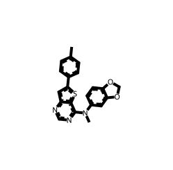 Cc1ccc(-c2cc3ncnc(N(C)c4ccc5c(c4)OCO5)c3s2)cc1